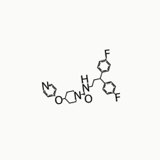 O=C(NCCC(c1ccc(F)cc1)c1ccc(F)cc1)N1CCC(Oc2ccncc2)CC1